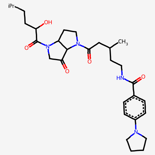 CC(C)CCC(O)C(=O)N1CC(=O)C2C1CCN2C(=O)CC(C)CCNC(=O)c1ccc(N2CCCC2)cc1